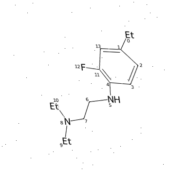 CCc1ccc(NCCN(CC)CC)c(F)c1